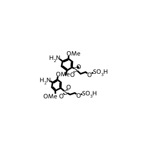 COc1cc(S(=O)(=O)CCOS(=O)(=O)O)c(C)cc1N.COc1cc(S(=O)(=O)CCOS(=O)(=O)O)c(OC)cc1N